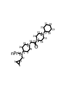 CCCN(CC1CC1)C1CCN(CC(=O)N2CCN(C3CCCCC3)CC2)CC1